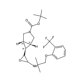 CC(C)(COc1ccccc1C(F)(F)F)NC1OC1[C@H]1[C@@H]2CN(C(=O)OC(C)(C)C)C[C@@H]21